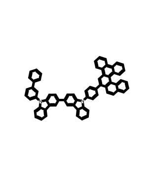 c1ccc(-c2cccc(-n3c4ccccc4c4cc(-c5ccc6c(c5)c5ccccc5n6-c5ccc(-c6cc7c8ccccc8c8ccccc8c7c7c6ccc6ccccc67)cc5)ccc43)c2)cc1